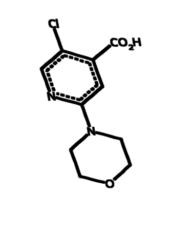 O=C(O)c1cc(N2CCOCC2)ncc1Cl